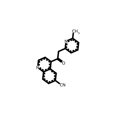 Cc1cccc(CC(=O)c2ccnc3ccc(C#N)cc23)n1